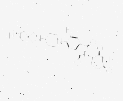 O=C1CCC(N2C(=O)c3cc(F)c(N4CCC(N5CC6(CNC6)C5)CC4)cc3C2=O)C(=O)N1